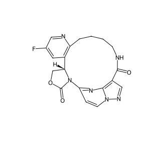 O=C1NCCCCc2ncc(F)cc2[C@H]2COC(=O)N2c2ccn3ncc1c3n2